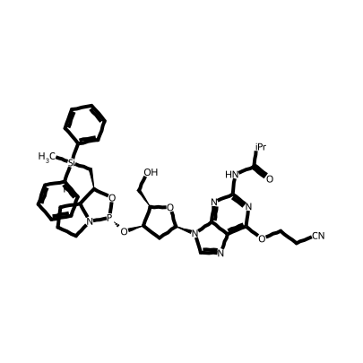 CC(C)C(=O)Nc1nc(OCCC#N)c2ncn([C@H]3C[C@@H](O[P@@]4O[C@H](C[Si](C)(c5ccccc5)c5ccccc5)[C@@H]5CCCN54)[C@@H](CO)O3)c2n1